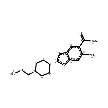 CCCCOC[C@H]1CC[C@H](c2nc3cc(C(=O)OC)c(N)cc3s2)CC1